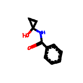 O=C(NC1(O)CC1)c1ccccc1